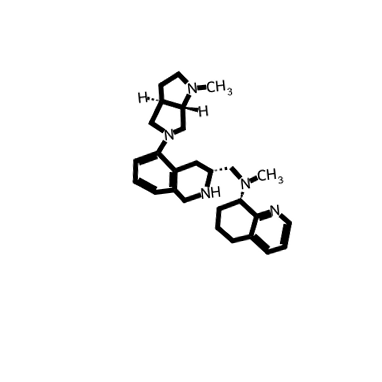 CN1CC[C@@H]2CN(c3cccc4c3C[C@H](CN(C)[C@H]3CCCc5cccnc53)NC4)C[C@H]21